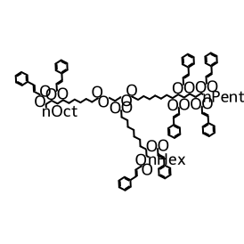 CCCCCCCCC(OC(=O)/C=C/c1ccccc1)C(CCCCCCCC(=O)OCC(COC(=O)CCCCCCCC(OC(=O)/C=C/c1ccccc1)C(CC(OC(=O)/C=C/c1ccccc1)C(CCCCC)OC(=O)/C=C/c1ccccc1)OC(=O)/C=C/c1ccccc1)OC(=O)CCCCCCCC(OC(=O)/C=C/c1ccccc1)C(CCCCCC)OC(=O)/C=C/c1ccccc1)OC(=O)/C=C/c1ccccc1